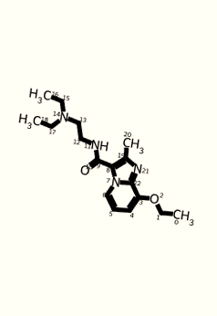 CCOc1cccn2c(C(=O)NCCN(CC)CC)c(C)nc12